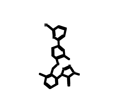 CCc1cccc(-c2ccc(OCc3c(C)cccc3-n3nnn(C)c3=O)c(C)c2)n1